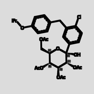 CC(=O)OC[C@H]1O[C@@](O)(c2ccc(Cl)c(Cc3ccc(OC(C)C)cc3)c2)[C@H](OC(C)=O)[C@@H](OC(C)=O)[C@@H]1OC(C)=O